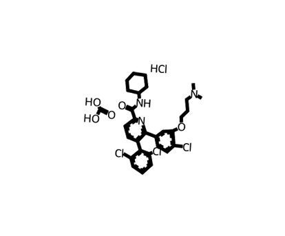 CN(C)CCCOc1cc(-c2nc(C(=O)NC3CCCCC3)ccc2-c2c(Cl)cccc2Cl)ccc1Cl.Cl.O=C(O)O